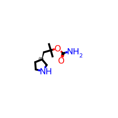 CC(C)(C[C@@H]1CCNC1)OC(N)=O